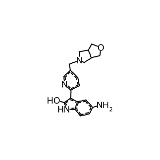 Nc1ccc2[nH]c(O)c(-c3ccc(CN4CC5COCC5C4)cn3)c2c1